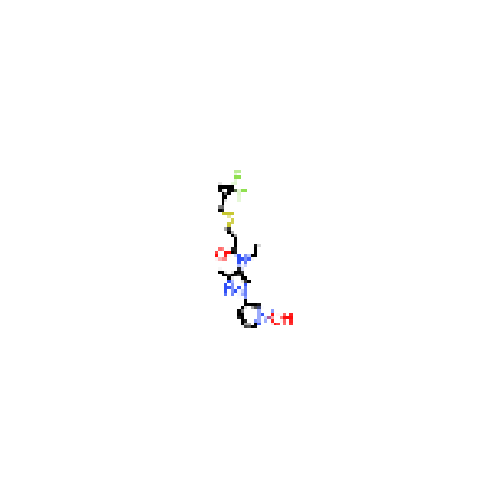 CCN(C(=O)CCSCC1CC1(F)F)c1cn(-c2ccc[n+](O)c2)nc1C